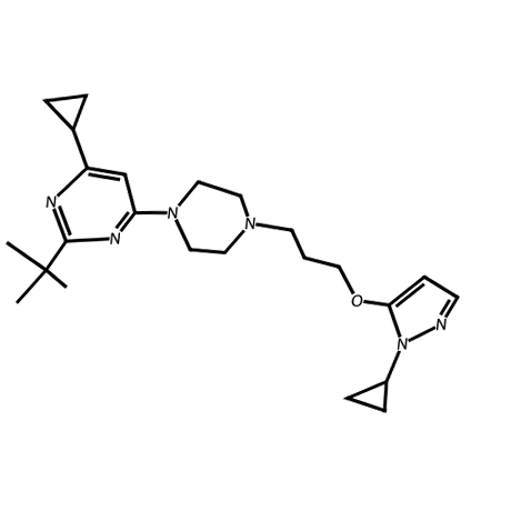 CC(C)(C)c1nc(C2CC2)cc(N2CCN(CCCOc3ccnn3C3CC3)CC2)n1